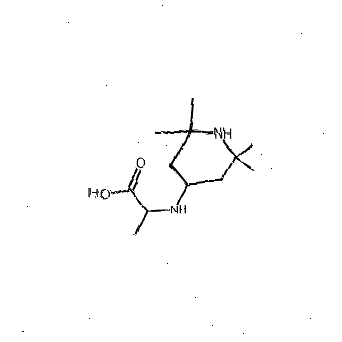 CC(NC1CC(C)(C)NC(C)(C)C1)C(=O)O